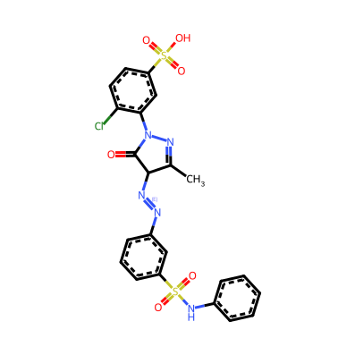 CC1=NN(c2cc(S(=O)(=O)O)ccc2Cl)C(=O)C1/N=N/c1cccc(S(=O)(=O)Nc2ccccc2)c1